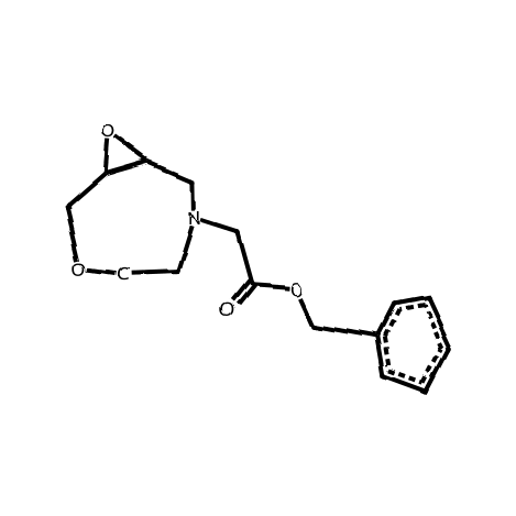 O=C(CN1CCOCC2OC2C1)OCc1ccccc1